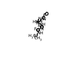 CN(C)CCNc1cc(F)cc(-c2nccc3[nH]c(-c4n[nH]c5cnc(-c6cncc(CN7CCCCC7)c6)c(F)c45)nc23)c1